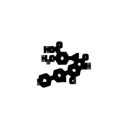 Cc1ccc(C2CC23C(=O)Nc2cc(Cl)c(-c4ccc(-c5ccncc5)cn4)cc23)cc1C(=O)O